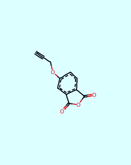 C#CCOc1ccc2c(c1)C(=O)OC2=O